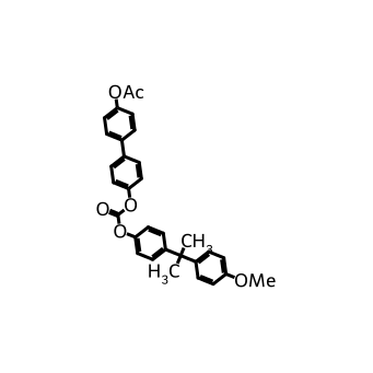 COc1ccc(C(C)(C)c2ccc(OC(=O)Oc3ccc(-c4ccc(OC(C)=O)cc4)cc3)cc2)cc1